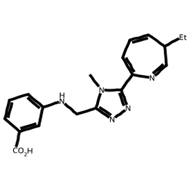 CCC1C=CC=C(c2nnc(CNc3cccc(C(=O)O)c3)n2C)N=C1